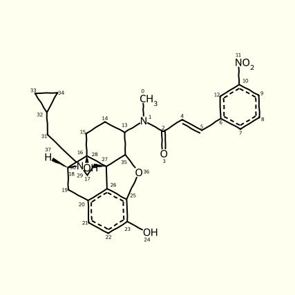 CN(C(=O)/C=C/c1cccc([N+](=O)[O-])c1)C1CC[C@@]2(O)[C@H]3Cc4ccc(O)c5c4[C@@]2(CCN3CC2CC2)C1O5